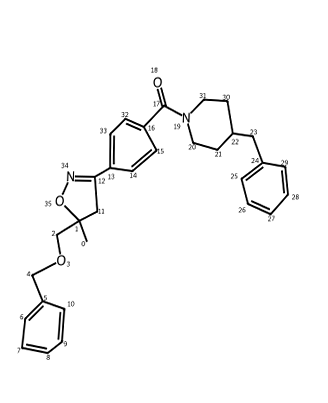 CC1(COCc2ccccc2)CC(c2ccc(C(=O)N3CCC(Cc4ccccc4)CC3)cc2)=NO1